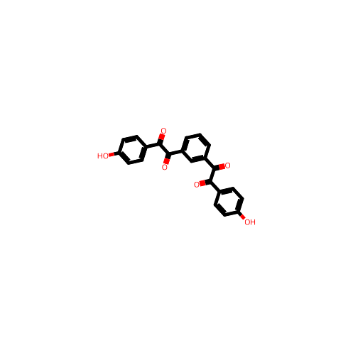 O=C(C(=O)c1cccc(C(=O)C(=O)c2ccc(O)cc2)c1)c1ccc(O)cc1